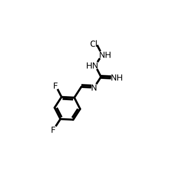 N=C(N=Cc1ccc(F)cc1F)NNCl